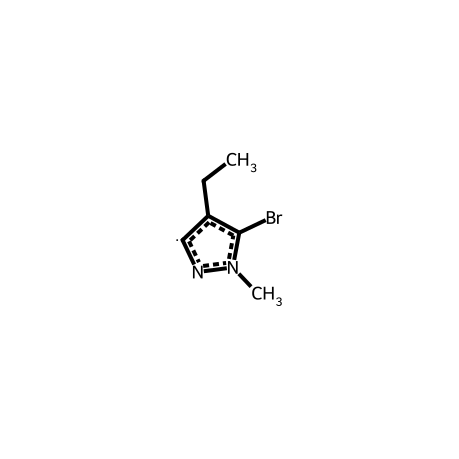 CCc1[c]nn(C)c1Br